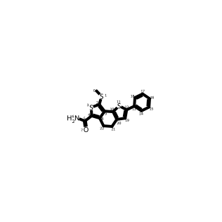 CSc1sc(C(N)=O)c2c1-c1sc(-c3ccccc3)cc1CC2